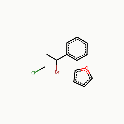 CC(Br)c1ccccc1.CCl.c1ccoc1